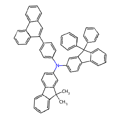 CC1(C)c2ccccc2-c2ccc(N(c3ccc(-c4cc5ccccc5c5ccccc45)cc3)c3ccc4c(c3)C(c3ccccc3)(c3ccccc3)c3ccccc3-4)cc21